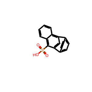 O=S(=O)(O)c1c2[c]c(c3ccccc13)-c1ccc-2cc1